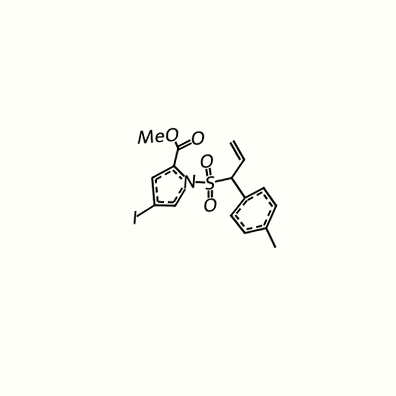 C=CC(c1ccc(C)cc1)S(=O)(=O)n1cc(I)cc1C(=O)OC